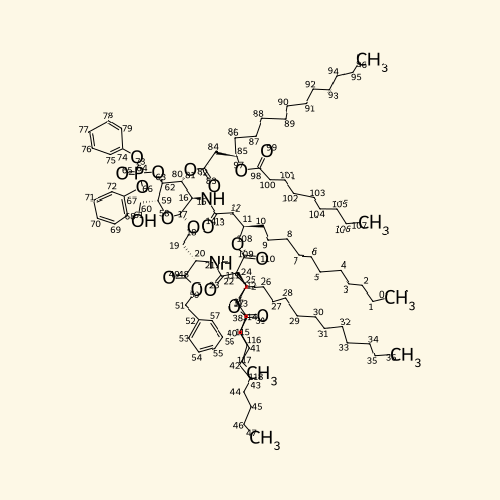 CCCCCCCCCCC[C@H](CC(=O)N[C@H]1[C@H](OC[C@H](NC(=O)C[C@@H](CCCCCCCCCCC)OC(=O)CCCCCCCC)C(=O)OCc2ccccc2)O[C@H](CO)[C@@H](OP(=O)(Oc2ccccc2)Oc2ccccc2)[C@@H]1OC(=O)C[C@@H](CCCCCCCCCCC)OC(=O)CCCCCCCC)OC(=O)CCCCCCCC